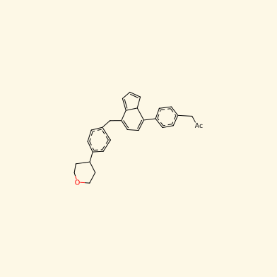 CC(=O)Cc1ccc(C2=CC=C(Cc3ccc(C4CCOCC4)cc3)C3=CC=CC32)cc1